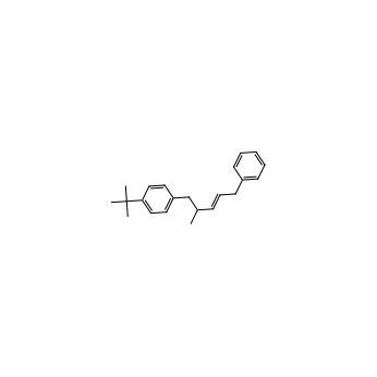 CC(/C=C/Cc1ccccc1)Cc1ccc(C(C)(C)C)cc1